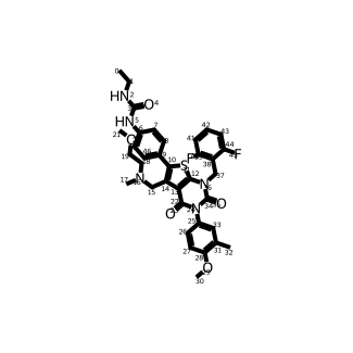 CCNC(=O)Nc1ccc(-c2sc3c(c2CN(C)CCOC)c(=O)n(-c2ccc(OC)c(C)c2)c(=O)n3Cc2c(F)cccc2F)cc1